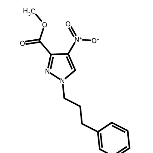 COC(=O)c1nn(CCCc2ccccc2)cc1[N+](=O)[O-]